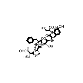 CCCC[C@H](NC=O)C(=O)N[C@@H](CC(C)C)C(=O)N[C@@H](Cc1ccccc1)C(=O)N[C@@H](CCCC)C(=O)N[C@@H](Cc1ccc(O)cc1)C(=O)N[C@@H](CC(C)C)C(=O)O